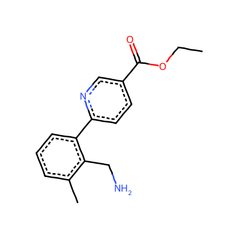 CCOC(=O)c1ccc(-c2cccc(C)c2CN)nc1